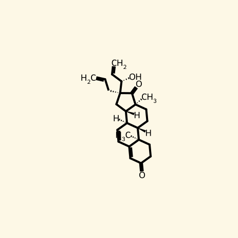 C=CC[C@@]1([C@@H](O)C=C)C[C@H]2[C@@H]3C=CC4=CC(=O)CC[C@]4(C)[C@H]3CC[C@]2(C)C1=O